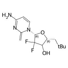 C=C1N=C(N)C=CN1[C@@H]1O[C@H](CC(C)(C)C)C(O)C1(F)F